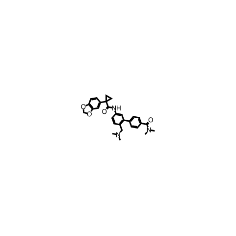 CN(C)Cc1ccc(NC(=O)C2(c3ccc4c(c3)OCO4)CC2)cc1-c1ccc(C(=O)N(C)C)cc1